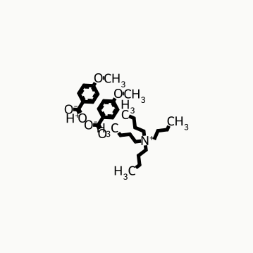 CCCC[N+](CCCC)(CCCC)CCCC.COc1ccc(C(=O)[O-])cc1.COc1ccc(C(=O)[O-])cc1.[H+]